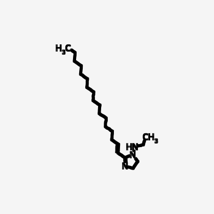 CCCCCCCCCCCCCCCC=CC1=NCCN1NCC